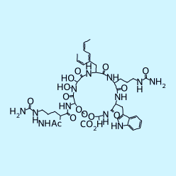 C\C=C/C=C(\C=C/C)CC1NC(=O)C(O)N(O)C(=O)C(NC(=O)C(CCCNC(N)=O)NC(C)=O)OOOC(C(=O)O)NC(=O)C(Cc2c[nH]c3ccccc23)NC(=O)C(CCCNC(N)=O)NC1=O